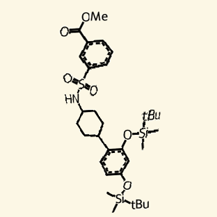 COC(=O)c1cccc(S(=O)(=O)NC2CCC(c3ccc(O[Si](C)(C)C(C)(C)C)cc3O[Si](C)(C)C(C)(C)C)CC2)c1